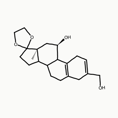 C[C@]12C[C@@H](O)C3C4=C(CCC3C1CCC21OCCO1)CC(CO)=CC4